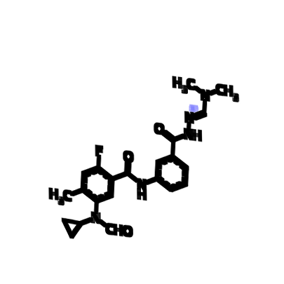 Cc1cc(F)c(C(=O)Nc2cccc(C(=O)N/N=C/N(C)C)c2)cc1N(C=O)C1CC1